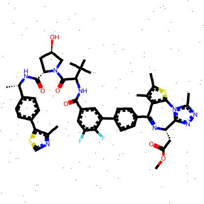 COC(=O)C[C@@H]1N=C(c2ccc(-c3cc(C(=O)NC(C(=O)N4C[C@H](O)C[C@H]4C(=O)N[C@@H](C)c4ccc(-c5scnc5C)cc4)C(C)(C)C)cc(F)c3F)cc2)c2c(sc(C)c2C)-n2c(C)nnc21